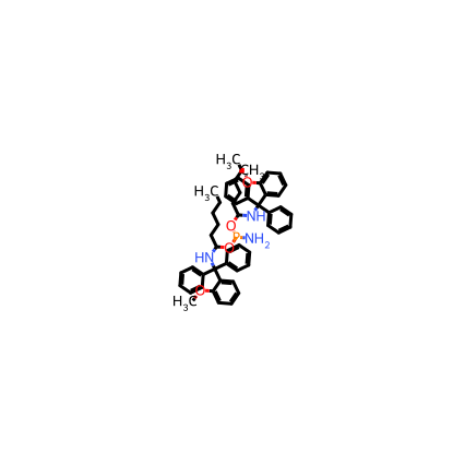 CCCCCC(NC(c1ccccc1)(c1ccccc1)c1ccccc1OC)OP(N)OC(CCCCC)NC(c1ccccc1)(c1ccccc1)c1ccccc1OC